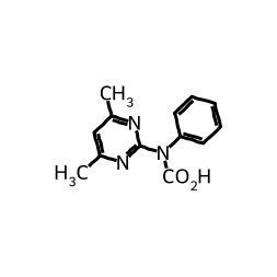 Cc1cc(C)nc(N(C(=O)O)c2ccccc2)n1